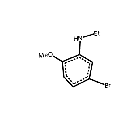 CCNc1cc(Br)ccc1OC